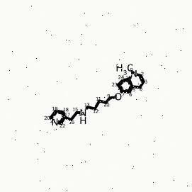 CN1C=CCc2cc(OCCCCCNCCc3cccnc3)ccc21